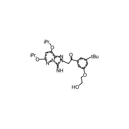 CC(C)Oc1cc(OC(C)C)c2nn(CC(=O)c3cc(OCCO)cc(C(C)(C)C)c3)c(=N)n2n1